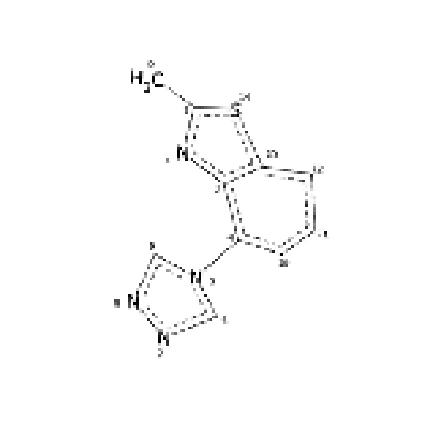 Cc1nc2c(-n3cnnc3)cccc2s1